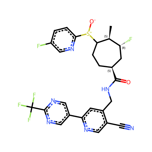 C[C@@H]1C([S+]([O-])c2ccc(F)cn2)CC[C@H](C(=O)NCc2cc(-c3cnc(C(F)(F)F)nc3)ncc2C#N)C[C@H]1F